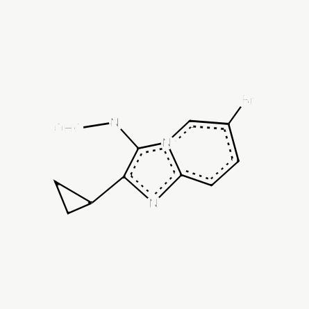 O=CNc1c(C2CC2)nc2ccc(Br)cn12